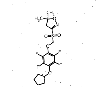 CC1(C)CC(S(=O)(=O)COc2c(F)c(F)c(OC3CCCC3)c(F)c2F)=NO1